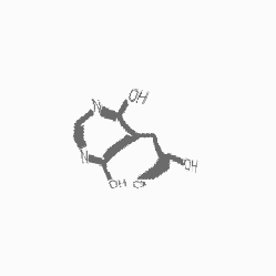 O=C(O)Cc1c(O)ncnc1O